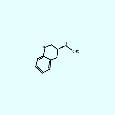 O=CN[C@@H]1CNc2ccccc2C1